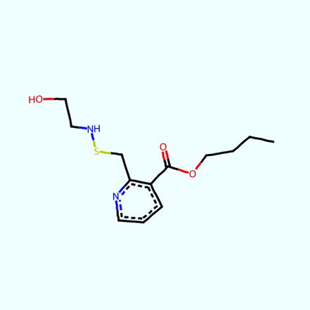 CCCCOC(=O)c1cccnc1CSNCCO